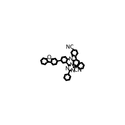 N#Cc1ccc2c3ccc(C#N)cc3n(-c3ccc(-c4ccc5c(c4)oc4ccccc45)cc3-c3nc(-c4ccccc4)nc(-c4ccccc4)n3)c2c1